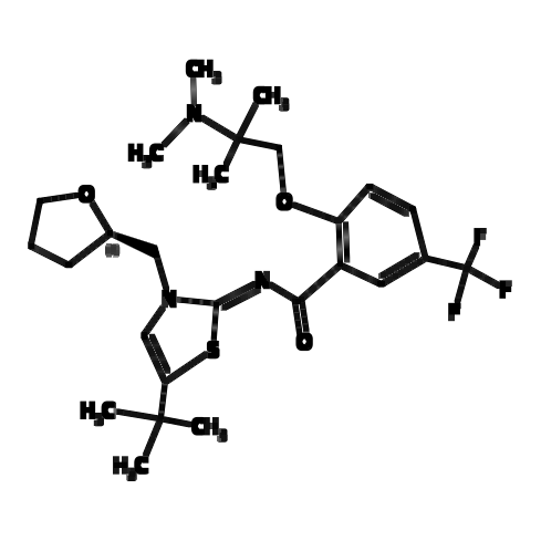 CN(C)C(C)(C)COc1ccc(C(F)(F)F)cc1C(=O)N=c1sc(C(C)(C)C)cn1C[C@H]1CCCO1